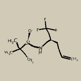 C=CC[C@@H](N[S@+]([O-])C(C)(C)C)C(F)(F)F